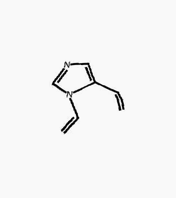 C=Cc1cncn1C=C